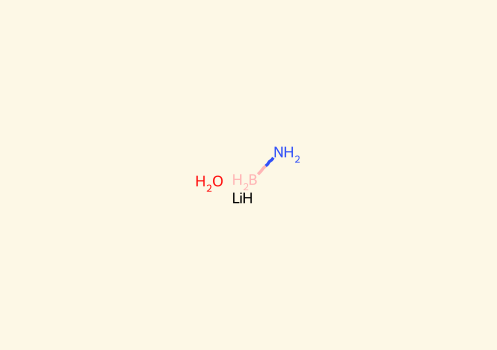 BN.O.[LiH]